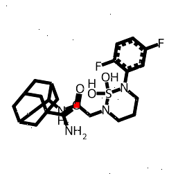 NC(=O)C12CC3CC(C1)C(NC(=O)CN1CCCN(c4cc(F)ccc4F)S1(O)O)C(C3)C2